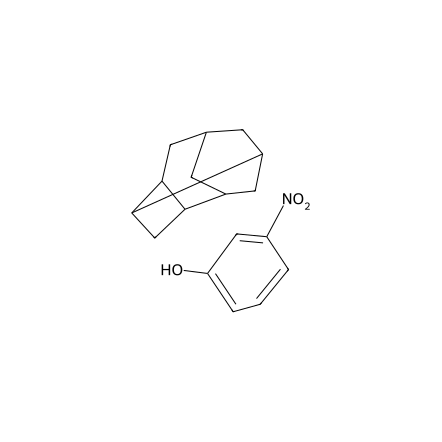 C1C2CC3CC1C1CC3C1C2.O=[N+]([O-])c1cccc(O)c1